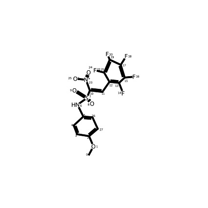 COc1ccc(NS(=O)(=O)C(=Cc2c(F)c(F)c(F)c(F)c2F)[N+](=O)[O-])cc1